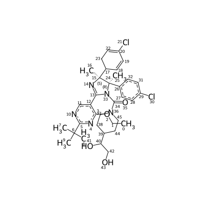 CCOc1nc(C(C)(C)C)ncc1C1=N[C@@](C)(C2C=CC(Cl)=CC2)[C@@](C)(c2ccc(Cl)cc2)N1C(=O)N1CCC(C(O)CO)CC1